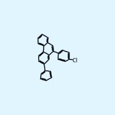 Clc1ccc(-c2cc3ccccc3c3ccc(-c4ccccc4)cc23)cc1